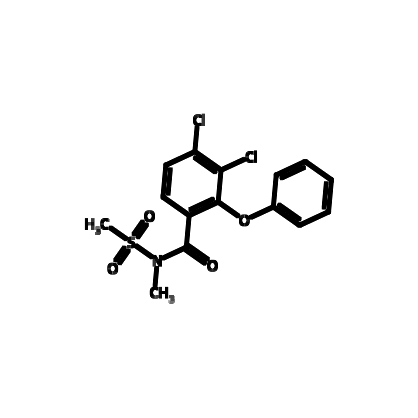 CN(C(=O)c1ccc(Cl)c(Cl)c1Oc1ccccc1)S(C)(=O)=O